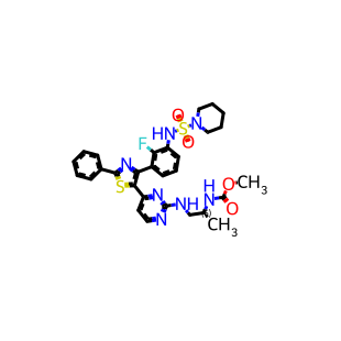 COC(=O)N[C@@H](C)CNc1nccc(-c2sc(-c3ccccc3)nc2-c2cccc(NS(=O)(=O)N3CCCCC3)c2F)n1